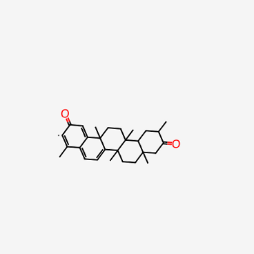 CC1=[C]C(=O)C=C2C1=CC=C1C2(C)CCC2(C)C3CC(C)C(=O)CC3(C)CCC12C